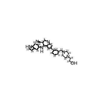 N#Cc1cnc2sc(-c3cccc(CN4CCN(CCO)CC4)c3)cc2c1Nc1ccc2[nH]ccc2c1